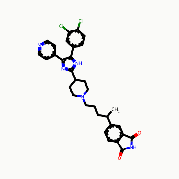 CC(CCCN1CCC(c2nc(-c3ccncc3)c(-c3ccc(Cl)c(Cl)c3)[nH]2)CC1)c1ccc2c(c1)C(=O)NC2=O